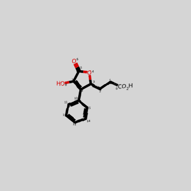 O=C(O)CCC1OC(=O)C(O)=C1c1ccccc1